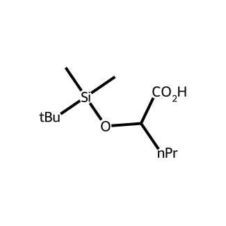 CCCC(O[Si](C)(C)C(C)(C)C)C(=O)O